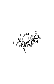 CC.CC(C)OC(=O)C(C)(C)Oc1ccc(C(S)(S)c2cccc(Cl)c2)cc1